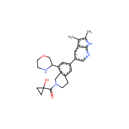 Cc1[nH]c2ncc(-c3cc4c(c(C5COCCN5)c3)CN(C(=O)C3(O)CC3)CC4)cc2c1C